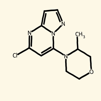 CC1COCCN1c1cc(Cl)nc2ccnn12